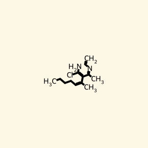 C=C\N=C(C)/C(C(/C)=C\CCCC)=C(\N)Cl